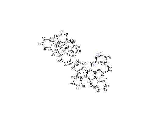 C=C(/C=C\C=C\c1nc(-c2ccccc2-c2cccc(-c3ccc4c(c3)C3(c5ccccc5Oc5ccccc53)c3cc5ccccc5cc3-4)c2)c2sc3ccccc3c2n1)C1=CC=CCC1